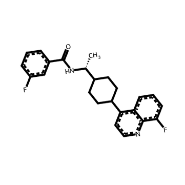 C[C@@H](NC(=O)c1cccc(F)c1)C1CCC(c2ccnc3c(F)cccc23)CC1